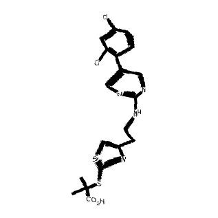 CC(C)(Sc1nc(CCNc2ncc(-c3ccc(Cl)cc3Cl)cn2)cs1)C(=O)O